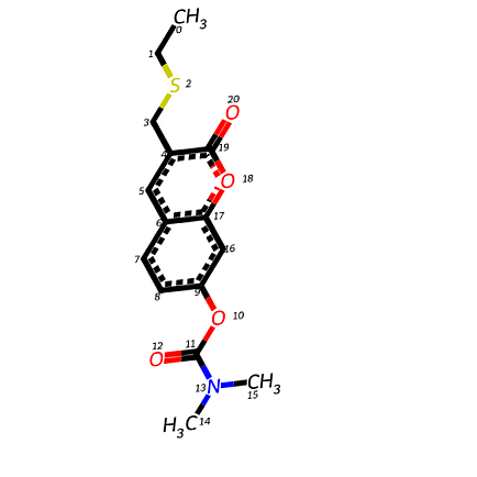 CCSCc1cc2ccc(OC(=O)N(C)C)cc2oc1=O